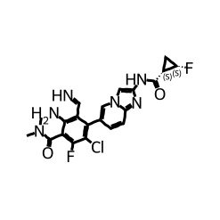 CN(C)C(=O)c1c(N)c(C=N)c(-c2ccc3nc(NC(=O)[C@@H]4C[C@@H]4F)cn3c2)c(Cl)c1F